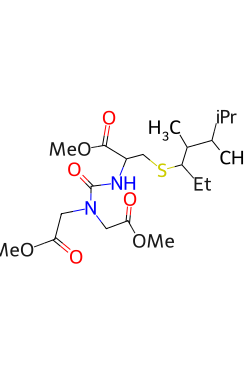 CCC(SCC(NC(=O)N(CC(=O)OC)CC(=O)OC)C(=O)OC)C(C)C(C)C(C)C